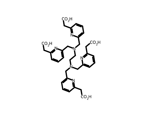 O=C(O)Cc1cccc(CN(CCN(Cc2cccc(CC(=O)O)n2)Cc2cccc(CC(=O)O)n2)Cc2cccc(CC(=O)O)n2)n1